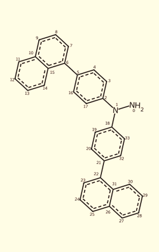 NN(c1ccc(-c2cccc3ccccc23)cc1)c1ccc(-c2cccc3ccccc23)cc1